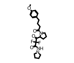 COc1ccc(CCCC(=O)N2CCCC2C(=O)C(F)(F)C(=O)NN2CCCC2)cc1